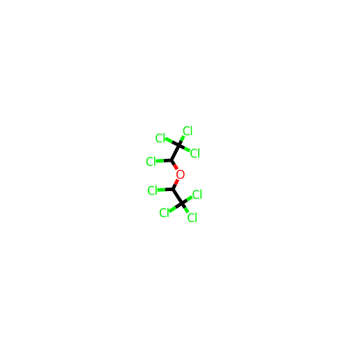 ClC(OC(Cl)C(Cl)(Cl)Cl)C(Cl)(Cl)Cl